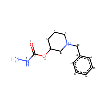 NNC(=O)OC1CCCN(Cc2ccccc2)C1